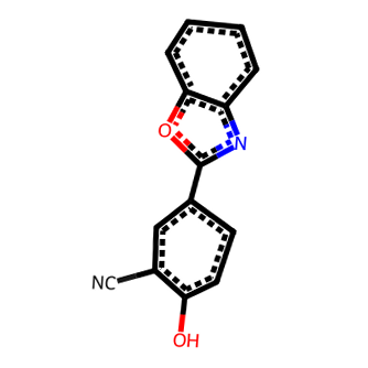 N#Cc1cc(-c2nc3ccccc3o2)ccc1O